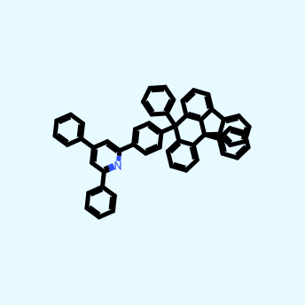 c1ccc(-c2cc(-c3ccccc3)nc(-c3ccc(C4(c5ccccc5)c5ccccc5C5(c6ccccc6)c6ccccc6-c6cccc4c65)cc3)c2)cc1